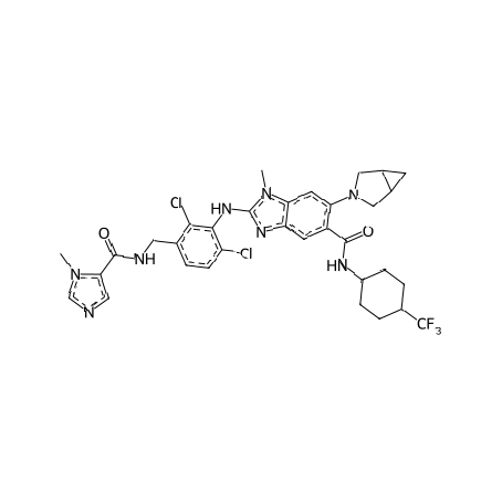 Cn1cncc1C(=O)NCc1ccc(Cl)c(Nc2nc3cc(C(=O)NC4CCC(C(F)(F)F)CC4)c(N4CC5CC5C4)cc3n2C)c1Cl